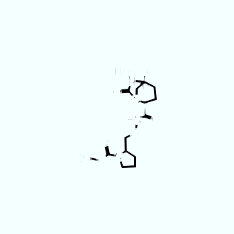 CC(C)(C)OC(=O)N1CCCC1CONC(=O)[C@@H]1CC[C@@H]2CN1C(=O)N2O